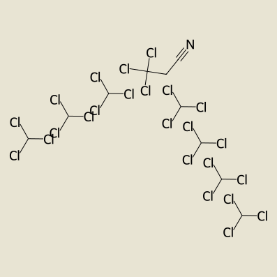 ClC(Cl)Cl.ClC(Cl)Cl.ClC(Cl)Cl.ClC(Cl)Cl.ClC(Cl)Cl.ClC(Cl)Cl.ClC(Cl)Cl.N#CCC(Cl)(Cl)Cl